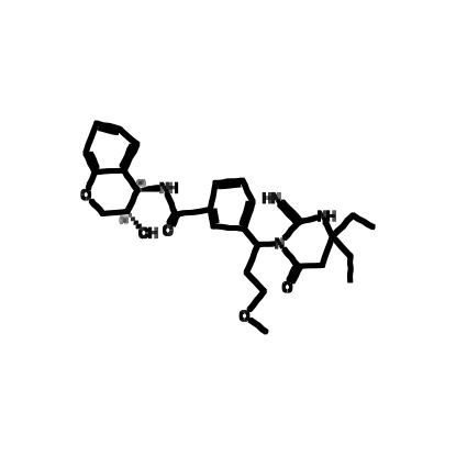 CCC1(CC)CC(=O)N(C(CCOC)c2cccc(C(=O)N[C@@H]3c4ccccc4OC[C@H]3O)c2)C(=N)N1